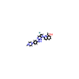 CC[C@@]1(O)CCCc2ccc(-n3cc(F)c4cnc(Nc5ccc(N6CCN(C)CC6)cc5)nc43)nc21